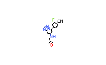 N#Cc1ccc(-c2cc(NCC3COC3)cc3ncnn23)cc1F